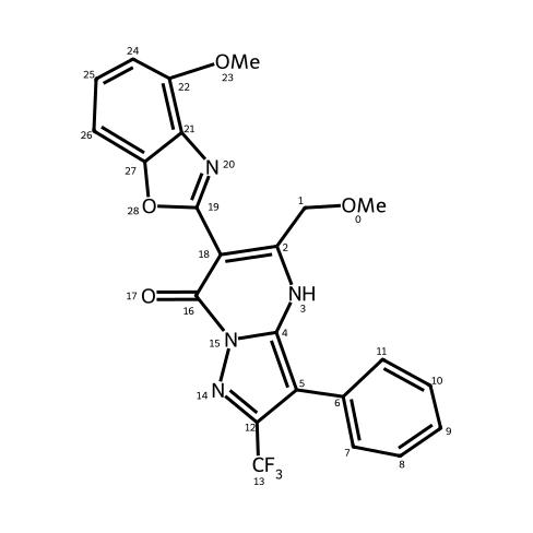 COCc1[nH]c2c(-c3ccccc3)c(C(F)(F)F)nn2c(=O)c1-c1nc2c(OC)cccc2o1